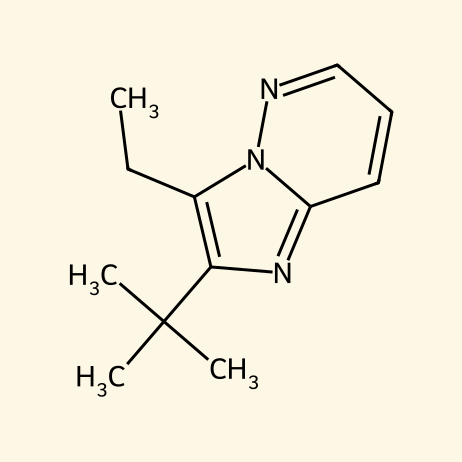 CCc1c(C(C)(C)C)nc2cccnn12